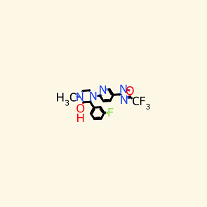 CN1CCN(c2ccc(-c3noc(C(F)(F)F)n3)cn2)C(c2cccc(F)c2)C1O